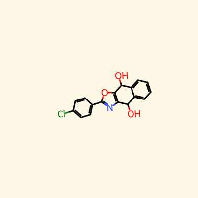 OC1c2ccccc2C(O)c2oc(-c3ccc(Cl)cc3)nc21